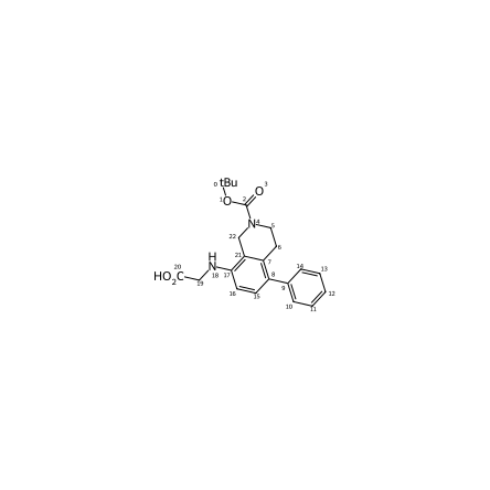 CC(C)(C)OC(=O)N1CCc2c(-c3ccccc3)ccc(NCC(=O)O)c2C1